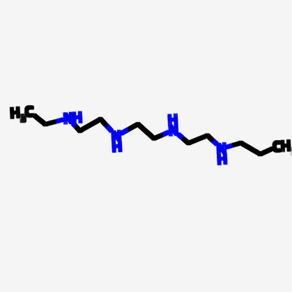 CCCNCCNCCNCCNCC